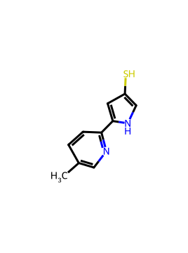 Cc1ccc(-c2cc(S)c[nH]2)nc1